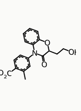 CCOC(=O)c1ccc(N2C(=O)C(CCO)Oc3ccccc32)cc1C